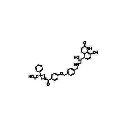 O=C(c1ccc(OCc2ccc(CNC[C@H](O)c3ccc(O)c4[nH]c(=O)ccc34)cc2)cc1)N1CC(C(=O)O)(c2ccccc2)C1